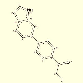 CCC(=O)c1ccc(-c2ccc3cc[nH]c3c2)cc1